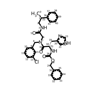 C[C@H](CNC(=O)CN(Cc1cccc(Cl)c1)C(=O)[C@H](Cc1c[nH]cn1)NC(=O)OCc1ccccc1)c1ccccc1